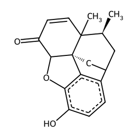 C[C@H]1CC2C[C@]34c5c2ccc(O)c5OC3C(=O)C=CC14C